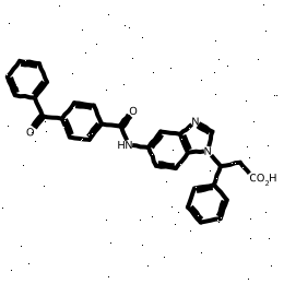 O=C(O)CC(c1ccccc1)n1cnc2cc(NC(=O)c3ccc(C(=O)c4ccccc4)cc3)ccc21